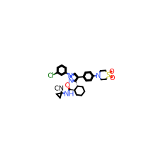 N#CC1(NC(=O)[C@@H]2CCCC[C@H]2c2nn(-c3cccc(Cl)c3)cc2-c2ccc(N3CCS(=O)(=O)CC3)cc2)CC1